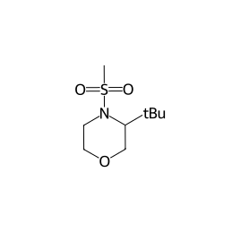 CC(C)(C)C1COCCN1S(C)(=O)=O